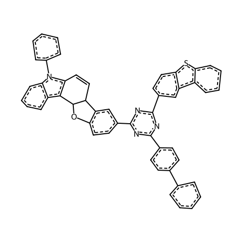 C1=CC2c3cc(-c4nc(-c5ccc(-c6ccccc6)cc5)nc(-c5ccc6sc7ccccc7c6c5)n4)ccc3OC2c2c1n(-c1ccccc1)c1ccccc21